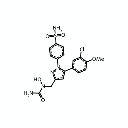 COc1ccc(-c2cc(CN(O)C(N)=O)nn2-c2ccc(S(N)(=O)=O)cc2)cc1Cl